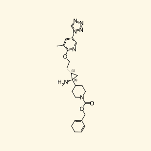 Cc1cc(-n2cnnn2)cnc1OCC[C@@H]1C[C@]1(N)C1CCN(C(=O)OCC2=CCCC=C2)CC1